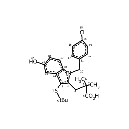 CC(C)(C)Sc1c(CC(C)(C)C(=O)O)n(Cc2ccc(Cl)cc2)c2ccc(O)cc12